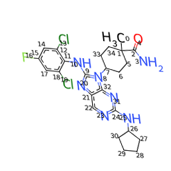 CC1(C(N)=O)CCC(n2c(Nc3c(Cl)cc(F)cc3Cl)nc3cnc(NC4CCCC4)nc32)CC1